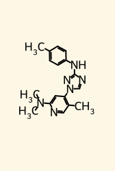 Cc1ccc(Nc2ncn(-c3cc(N(C)C)ncc3C)n2)cc1